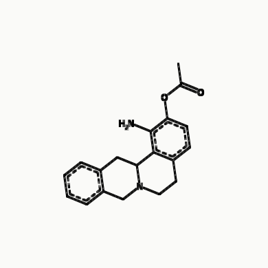 CC(=O)Oc1ccc2c(c1N)C1Cc3ccccc3CN1CC2